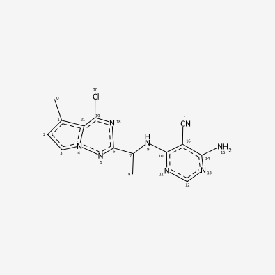 Cc1ccn2nc(C(C)Nc3ncnc(N)c3C#N)nc(Cl)c12